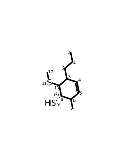 CCCC1C=CC(C)[C@H](S)C1SC